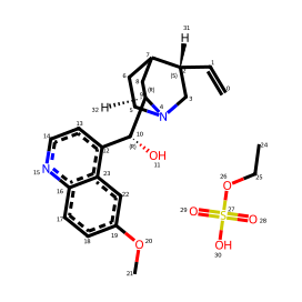 C=C[C@@H]1CN2CCC1C[C@@H]2[C@H](O)c1ccnc2ccc(OC)cc12.CCOS(=O)(=O)O